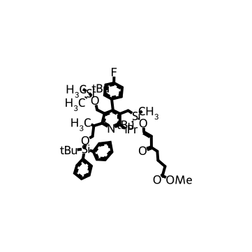 COC(=O)CCCC(=O)/C=C/O[Si@@](C)(Cc1c(C(C)C)nc(C(C)CO[Si](c2ccccc2)(c2ccccc2)C(C)(C)C)c(CO[Si](C)(C)C(C)(C)C)c1-c1ccc(F)cc1)C(C)(C)C